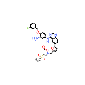 CS(=O)(=O)CCN(Cc1ccc(-c2ccc3ncnc(Nc4ccc(OCc5cccc(F)c5)c(N)c4)c3c2)o1)OC=O